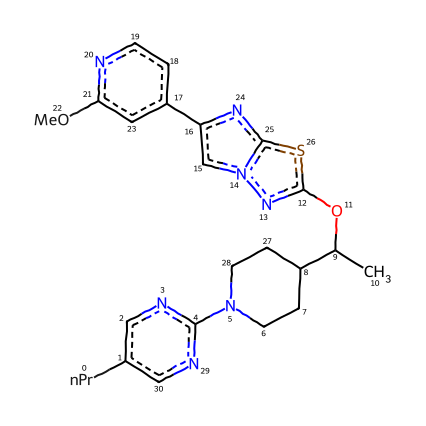 CCCc1cnc(N2CCC(C(C)Oc3nn4cc(-c5ccnc(OC)c5)nc4s3)CC2)nc1